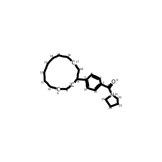 O=C(c1ccc(C2CCCCCCCCCCCC2)cc1)N1CCCC1